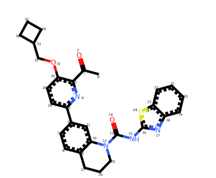 CC(=O)c1nc(-c2ccc3c(c2)N(C(=O)Nc2nc4ccccc4s2)CCC3)ccc1OCC1CCC1